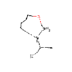 CCC(C)[SiH]1CCCO[SiH2]1